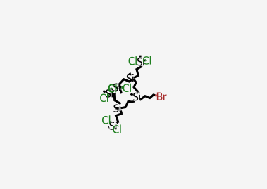 C[Si](Cl)(Cl)CCC[Si](C)(CCC[Si](C)(Cl)Cl)CCC[Si](C)(CCCCBr)CCC[Si](C)(CCC[Si](C)(Cl)Cl)CCC[Si](C)(Cl)Cl